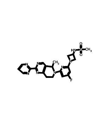 CC1c2cnc(-c3ncccn3)nc2CCN1c1cc(F)cc(N2CC(NS(C)(=O)=O)C2)n1